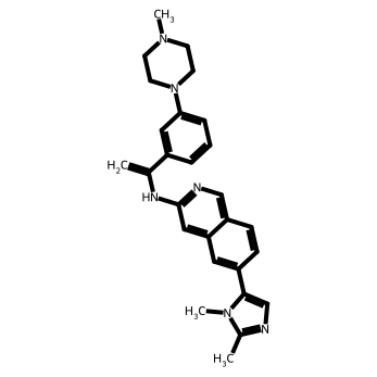 C=C(Nc1cc2cc(-c3cnc(C)n3C)ccc2cn1)c1cccc(N2CCN(C)CC2)c1